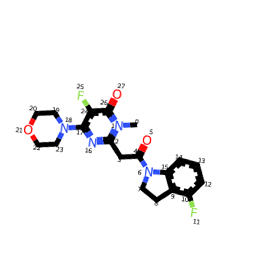 Cn1c(CC(=O)N2CCc3c(F)cccc32)nc(N2CCOCC2)c(F)c1=O